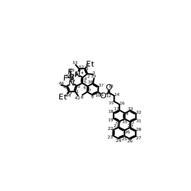 CCC1=C(C)C2=C(c3c(C)cc(OC(=O)CCCc4ccc5c6cccc7cccc(c8cccc4c85)c76)cc3C)c3c(C)c(CC)c(C)n3[B-](F)(F)[N+]2=C1C